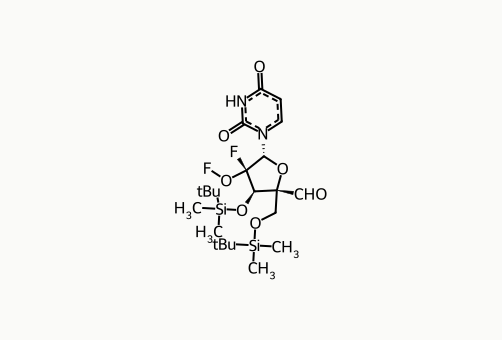 CC(C)(C)[Si](C)(C)OC[C@@]1(C=O)O[C@@H](n2ccc(=O)[nH]c2=O)[C@@](F)(OF)[C@@H]1O[Si](C)(C)C(C)(C)C